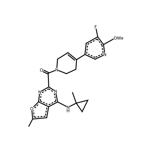 COc1ncc(C2=CCN(C(=O)c3nc(NC4(C)CC4)c4cc(C)oc4n3)CC2)cc1F